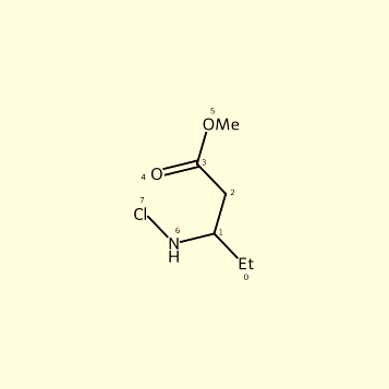 CCC(CC(=O)OC)NCl